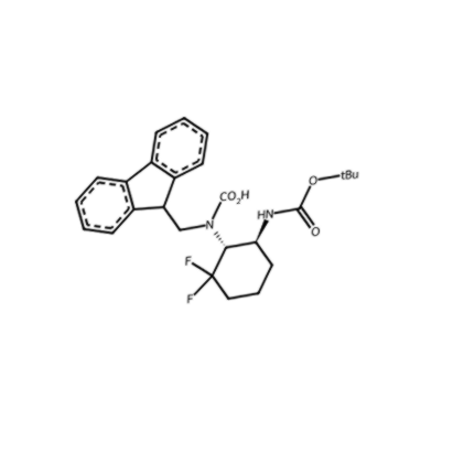 CC(C)(C)OC(=O)N[C@H]1CCCC(F)(F)[C@@H]1N(CC1c2ccccc2-c2ccccc21)C(=O)O